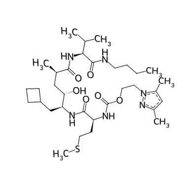 CCCCNC(=O)[C@@H](NC(=O)[C@H](C)C[C@H](O)[C@H](CC1CCC1)NC(=O)[C@H](CCSC)NC(=O)OCCn1nc(C)cc1C)C(C)C